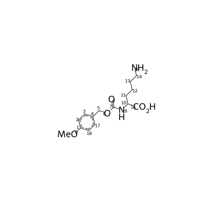 COc1ccc(COC(=O)NC(CCCCN)C(=O)O)cc1